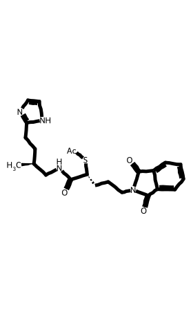 CC(=O)S[C@H](CCCN1C(=O)c2ccccc2C1=O)C(=O)NC[C@@H](C)CCc1ncc[nH]1